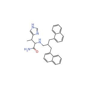 CC(c1c[nH]cn1)C(NCC(Cc1cccc2ccccc12)Cc1cccc2ccccc12)C(N)=O